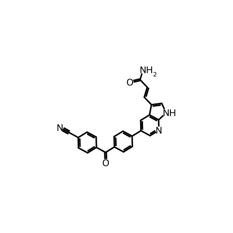 N#Cc1ccc(C(=O)c2ccc(-c3cnc4[nH]cc(C=CC(N)=O)c4c3)cc2)cc1